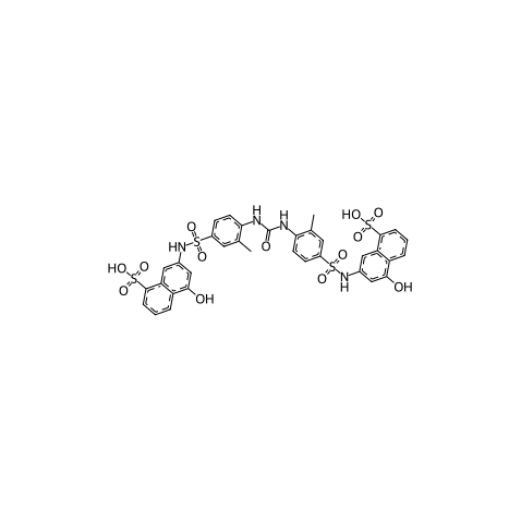 Cc1cc(S(=O)(=O)Nc2cc(O)c3cccc(S(=O)(=O)O)c3c2)ccc1NC(=O)Nc1ccc(S(=O)(=O)Nc2cc(O)c3cccc(S(=O)(=O)O)c3c2)cc1C